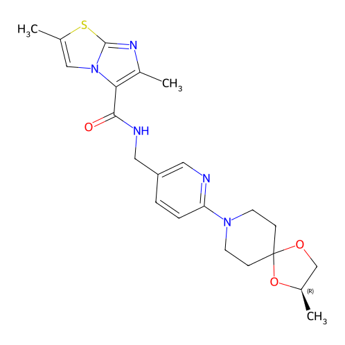 Cc1cn2c(C(=O)NCc3ccc(N4CCC5(CC4)OC[C@@H](C)O5)nc3)c(C)nc2s1